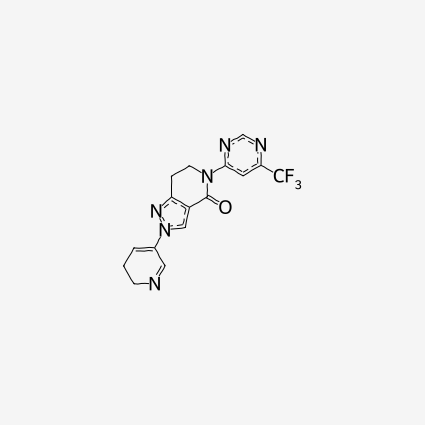 O=C1c2cn(C3=CCCN=C3)nc2CCN1c1cc(C(F)(F)F)ncn1